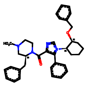 O=C(O)N1CCN(C(=O)c2ncn([C@H]3CCCC[C@@H]3OCc3ccccc3)c2-c2ccccc2)[C@H](Cc2ccccc2)C1